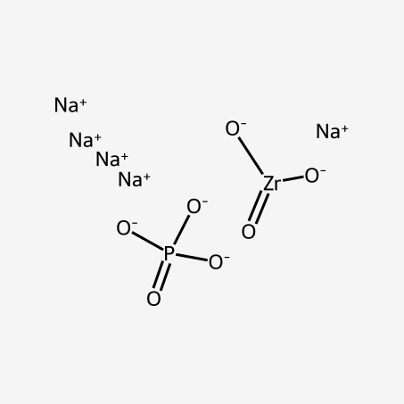 O=P([O-])([O-])[O-].[Na+].[Na+].[Na+].[Na+].[Na+].[O]=[Zr]([O-])[O-]